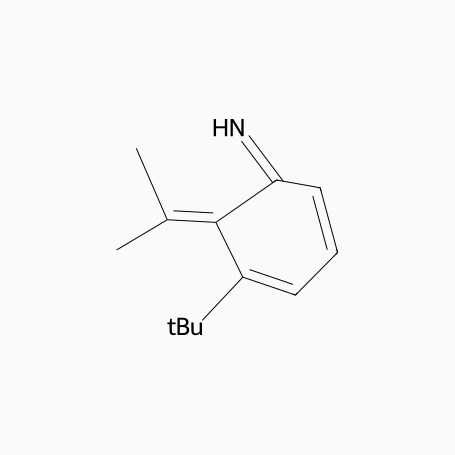 CC(C)=C1C(=N)C=CC=C1C(C)(C)C